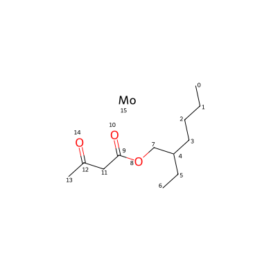 CCCCC(CC)COC(=O)CC(C)=O.[Mo]